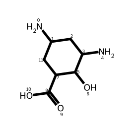 NC1CC(N)C(O)C(C(=O)O)C1